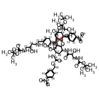 CN(C(=O)OC(C)(C)C)[C@@H]1[C@@H](O)[C@@H](O[C@@H]2[C@@H](O)[C@H](O[C@H]3OC(CNCC(O)CNC(=O)OC(C)(C)C)=CC[C@H]3NC(=O)OCc3ccc([N+](=O)[O-])cc3)[C@@H](NC(=O)OCc3ccc([N+](=O)[O-])cc3)C[C@H]2NC(=O)[C@@H](O)CNC(=O)OC(C)(C)C)OC[C@]1(C)O